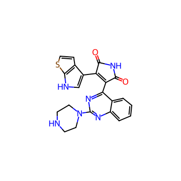 O=C1NC(=O)C(c2c[nH]c3sccc23)=C1c1nc(N2CCNCC2)nc2ccccc12